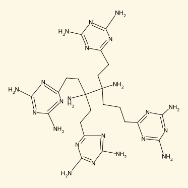 Nc1nc(N)nc(CCCC(N)(CCc2nc(N)nc(N)n2)C(N)(CCc2nc(N)nc(N)n2)CCc2nc(N)nc(N)n2)n1